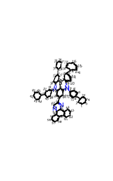 c1ccc(-c2ccc(N3c4ccc(-c5ccccc5)cc4B4c5cc(-c6ccccc6)ccc5N(c5ccc(-c6ccccc6)cc5)c5cc(-c6cnc7c8ccccc8c8ccccc8c7n6)cc3c54)cc2)cc1